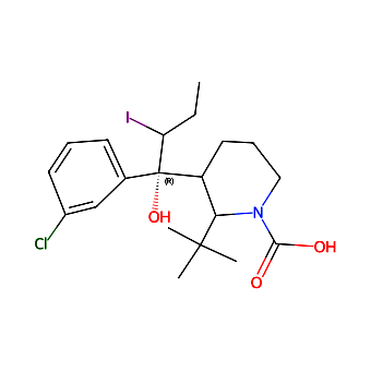 CCC(I)[C@](O)(c1cccc(Cl)c1)C1CCCN(C(=O)O)C1C(C)(C)C